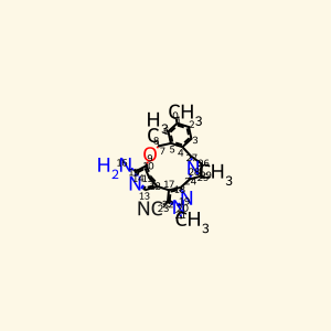 Cc1ccc2c(c1)[C@@H](C)Oc1cc(cnc1N)-c1c(nn(C)c1C#N)C1CCC2N1C